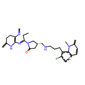 C=NC1=C(/N=C(\CC)N2C[C@H](CNCCCc3c(F)ccc4c3N(C)C(=C)C=C4)CC2=O)NC(=C)CC1